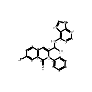 CC(Nc1ncnc2[nH]cnc12)c1cc2ccc(F)cc2c(=O)n1-c1ccccc1